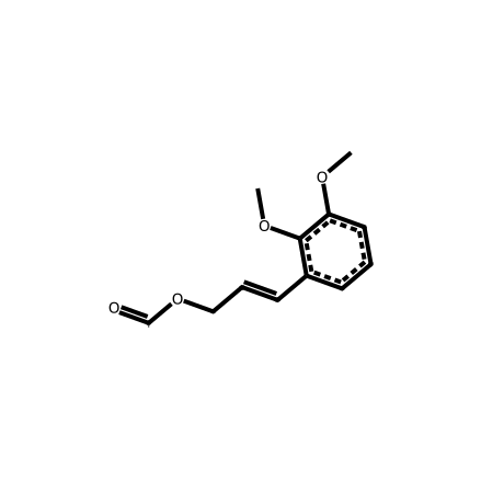 COc1cccc(C=CCO[C]=O)c1OC